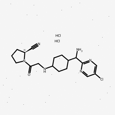 Cl.Cl.N#C[C@@H]1CCCN1C(=O)CNC1CCC(C(N)c2ncc(Cl)cn2)CC1